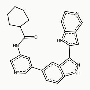 O=C(Nc1cncc(-c2ccc3[nH]nc(-c4cc5cnccc5[nH]4)c3c2)c1)C1CCCCC1